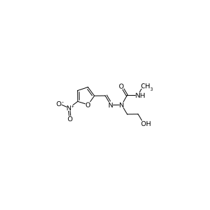 CNC(=O)N(CCO)/N=C/c1ccc([N+](=O)[O-])o1